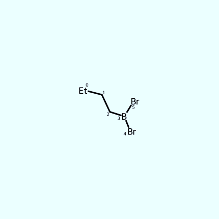 CCCCB(Br)Br